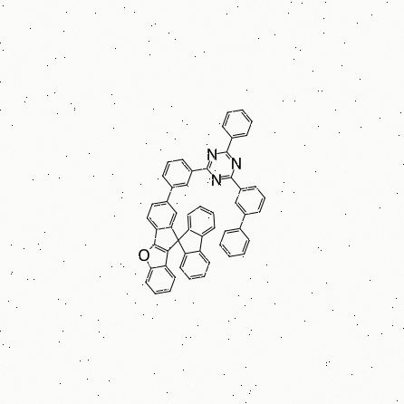 c1ccc(-c2cccc(-c3nc(-c4ccccc4)nc(-c4cccc(-c5ccc6c(c5)C5(c7ccccc7-c7ccccc75)c5c-6oc6ccccc56)c4)n3)c2)cc1